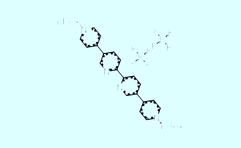 CCCCCC[n+]1ccc(-c2ccc(-c3ccc(-c4cc[n+](CCCCCC)cc4)cn3)nc2)cc1.F[B-](F)(F)F.F[B-](F)(F)F